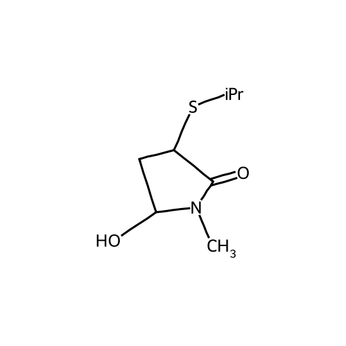 CC(C)SC1CC(O)N(C)C1=O